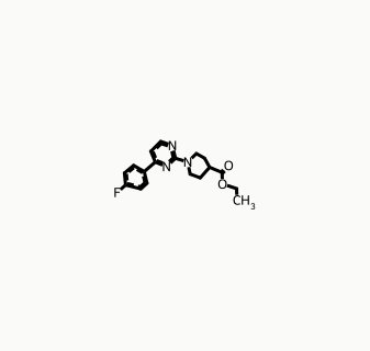 CCOC(=O)C1CCN(c2nccc(-c3ccc(F)cc3)n2)CC1